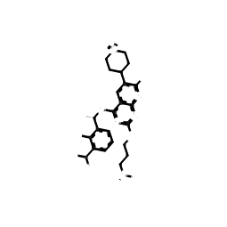 Cc1nc2nc(OCCCN(C)C)nc(N[C@H](C)c3cccc(C(F)F)c3F)c2cc1C1CCS(=O)(=O)CC1